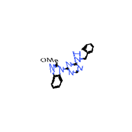 COc1nc2ccccc2n1-c1ncnc(NCc2ccccc2)n1